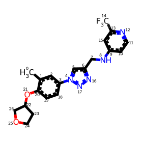 Cc1cc(-n2cc(CNc3ccnc(C(F)(F)F)c3)nn2)ccc1OC1CCOC1